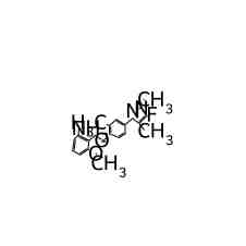 COc1cccc(N)c1COc1ccc(-c2nn(C)c(F)c2C)cc1C